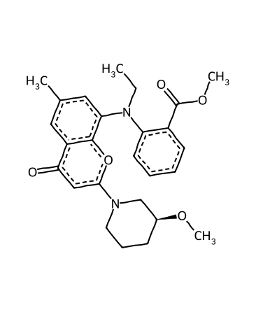 CCN(c1ccccc1C(=O)OC)c1cc(C)cc2c(=O)cc(N3CCC[C@H](OC)C3)oc12